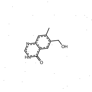 Cc1cc2nc[nH]c(=O)c2cc1CO